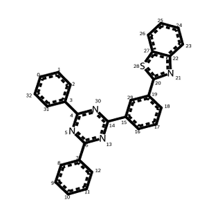 c1ccc(-c2nc(-c3ccccc3)nc(-c3cccc(-c4nc5ccccc5s4)c3)n2)cc1